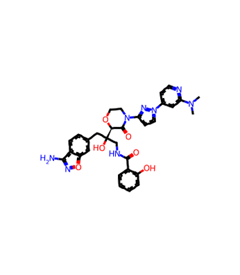 CN(C)c1cc(-n2ccc(N3CCO[C@H](C(O)(CNC(=O)c4ccccc4O)Cc4ccc5c(N)noc5c4)C3=O)n2)ccn1